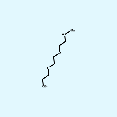 CC(C)COCCOCCOCCNC(C)(C)C